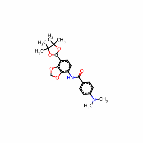 CN(C)c1ccc(C(=O)Nc2ccc(B3OC(C)(C)C(C)(C)O3)c3c2OCO3)cc1